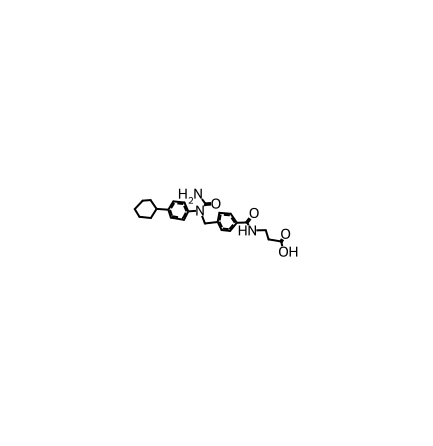 NC(=O)N(Cc1ccc(C(=O)NCCC(=O)O)cc1)c1ccc(C2CCCCC2)cc1